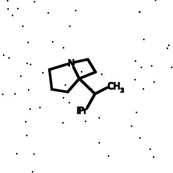 CC(C)C(C)C12CCCN1CC2